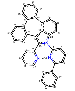 c1ccc(-c2cccc(-n3c(-c4ccccn4)c4c5c(cccc53)-c3ccccc3-c3ccccc3-4)n2)cc1